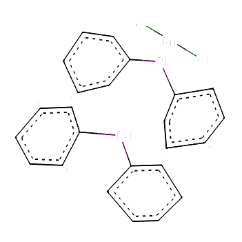 [Cl][Ru][Cl].c1ccc(Pc2ccccc2)cc1.c1ccc(Pc2ccccc2)cc1